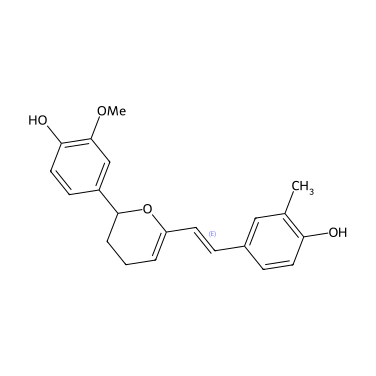 COc1cc(C2CCC=C(/C=C/c3ccc(O)c(C)c3)O2)ccc1O